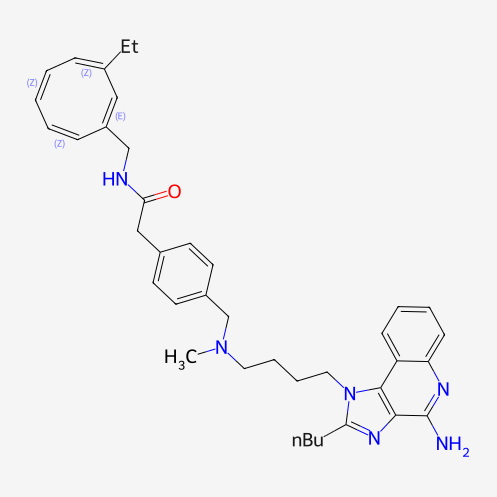 CCCCc1nc2c(N)nc3ccccc3c2n1CCCCN(C)Cc1ccc(CC(=O)NCC2=C/C(CC)=C\C=C/C=C\2)cc1